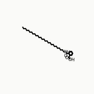 CCCCCCCCCCCCCCCCCCCCCCCCCCCCNC(=O)c1ccccc1C(=O)O